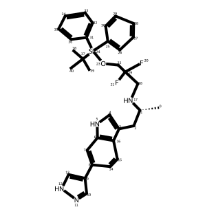 C[C@H](Cc1c[nH]c2cc(-c3cn[nH]c3)ccc12)NCC(F)(F)CO[Si](c1ccccc1)(c1ccccc1)C(C)(C)C